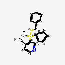 CS(SCc1ccccc1)(c1ccccc1)c1cnccc1C(F)(F)F